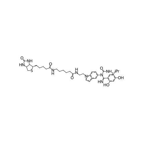 CC(C)c1cc(C(=N)N(C(N)=O)c2ccc3c(ccn3CCNC(=O)CCCCCNC(=O)CCCC[C@H]3SCC4NC(=O)NC43)c2)c(O)cc1O